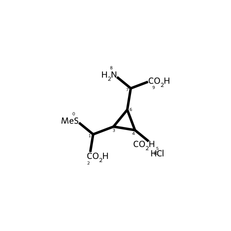 CSC(C(=O)O)C1C(C(=O)O)C1C(N)C(=O)O.Cl